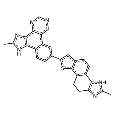 Cc1nc2c([nH]1)-c1ccc3cc(-c4ccc5c(c4)c4cncnc4c4nc(C)[nH]c54)sc3c1CC2